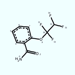 NC(=O)c1ccccc1OC(F)(F)C(F)F